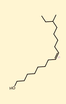 CCC(C)CCCC/C=C\CCCCCCCO